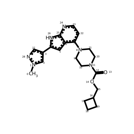 Cn1cc(-c2cc3c(N4CCN(C(=O)OCC5CCC5)CC4)ccnc3[nH]2)cn1